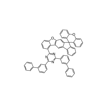 c1ccc(-c2cccc(-c3nc(-c4cccc(-c5ccccc5)c4)nc(-c4cccc5oc6cc7c(cc6c45)-c4ccccc4C74c5ccccc5Oc5ccccc54)n3)c2)cc1